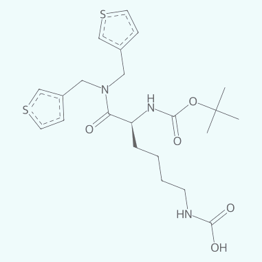 CC(C)(C)OC(=O)N[C@@H](CCCCNC(=O)O)C(=O)N(Cc1ccsc1)Cc1ccsc1